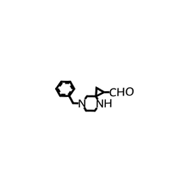 O=CC1CC12CN(Cc1ccccc1)CCN2